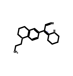 CCCN1CCCc2cc(/C(C=N)=C3\CCCCN3)ccc21